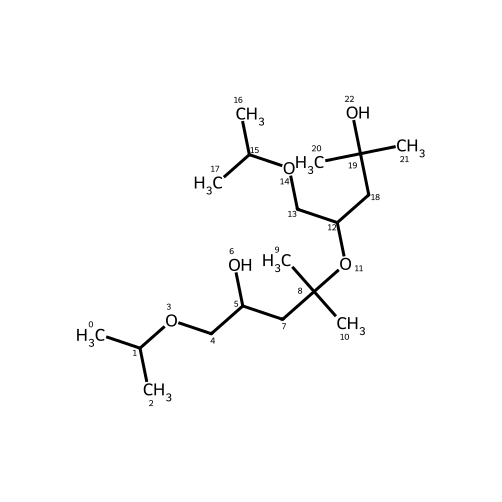 CC(C)OCC(O)CC(C)(C)OC(COC(C)C)CC(C)(C)O